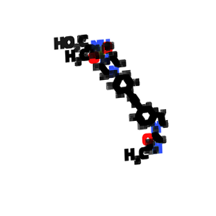 Cc1ncc(-n2ccc3cc(C#Cc4ccc(N5CCN(S(=O)(=O)N[C@H](C)C(=O)O)CC5)cc4)ccc32)o1